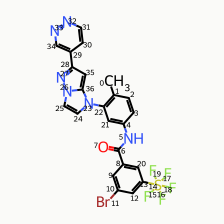 Cc1ccc(NC(=O)c2cc(Br)cc(S(F)(F)(F)(F)F)c2)cc1-n1ccn2nc(-c3ccnnc3)cc12